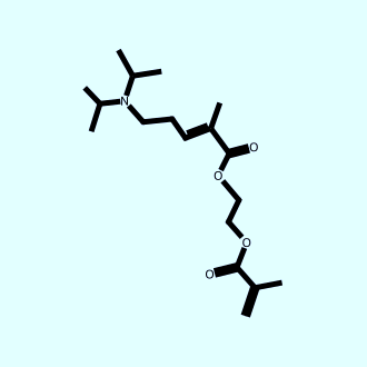 C=C(C)C(=O)OCCOC(=O)C(C)=CCCN(C(C)C)C(C)C